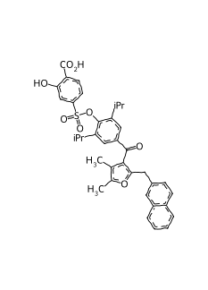 Cc1oc(Cc2ccc3ccccc3c2)c(C(=O)c2cc(C(C)C)c(OS(=O)(=O)c3ccc(C(=O)O)c(O)c3)c(C(C)C)c2)c1C